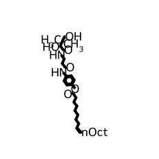 CCCCCCCC/C=C\CCCCCCCC(=O)Oc1ccc(NC(=O)CCNC(=O)C(O)C(C)(C)CO)cc1